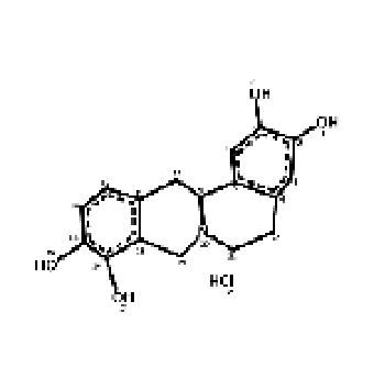 Cl.Oc1cc2c(cc1O)C1Cc3ccc(O)c(O)c3CN1CC2